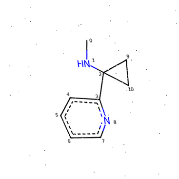 CNC1(c2ccccn2)CC1